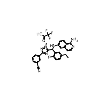 CCc1ccc(F)c(C(Nc2ccc3c(N)nccc3c2)c2nc(-c3cccc(C#N)c3)nn2C)c1.O=C(O)C(F)(F)F